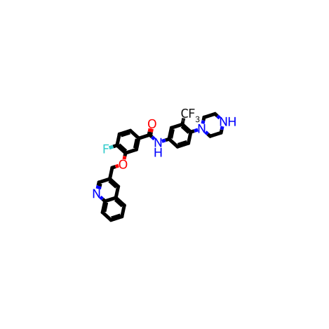 O=C(Nc1ccc(N2CCNCC2)c(C(F)(F)F)c1)c1ccc(F)c(OCc2cnc3ccccc3c2)c1